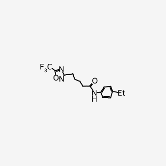 CCc1ccc(NC(=O)CCCCc2noc(C(F)(F)F)n2)cc1